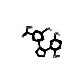 COC(=O)c1cc(N)cc(C2=C(c3cc(C)ccc3OC)CCC2)c1